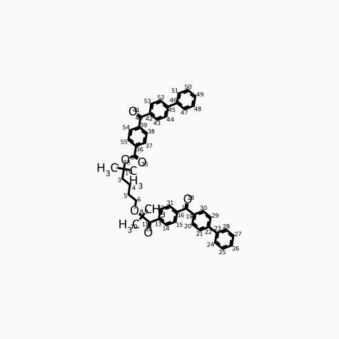 CC(C)(CCCCOC(C)(C)C(=O)c1ccc(C(=O)c2ccc(-c3ccccc3)cc2)cc1)OC(=O)c1ccc(C(=O)c2ccc(-c3ccccc3)cc2)cc1